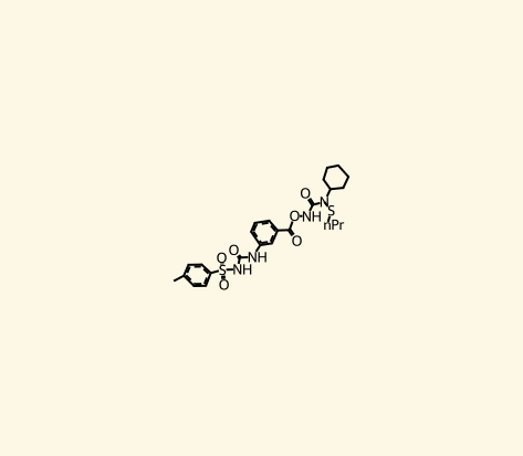 CCCSN(C(=O)NOC(=O)c1cccc(NC(=O)NS(=O)(=O)c2ccc(C)cc2)c1)C1CCCCC1